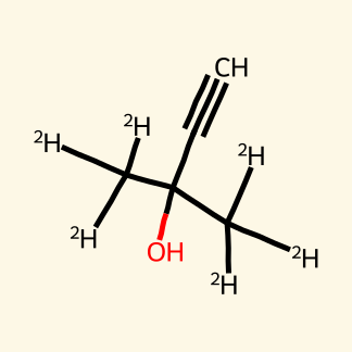 [2H]C([2H])([2H])C(O)(C#C)C([2H])([2H])[2H]